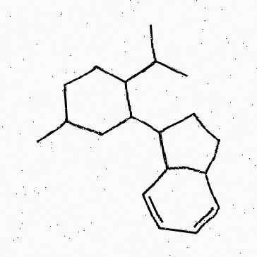 CC1CCC(C(C)C)C(C2CCC3C=CC=CC32)C1